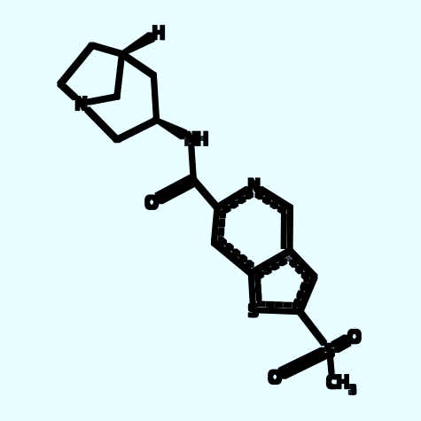 CS(=O)(=O)c1cc2cnc(C(=O)N[C@@H]3C[C@H]4CCN(C4)C3)cc2s1